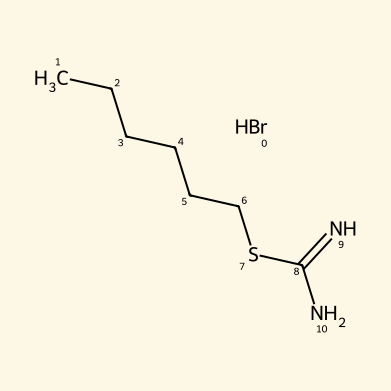 Br.CCCCCCSC(=N)N